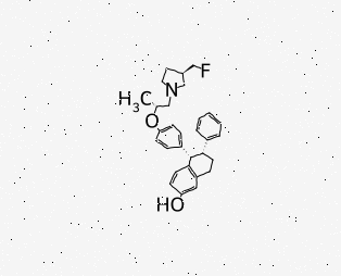 C[C@H](CN1CC[C@@H](CF)C1)Oc1ccc([C@H]2c3ccc(O)cc3CC[C@H]2c2ccccc2)cc1